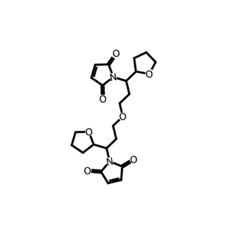 O=C1C=CC(=O)N1C(CCOCCC(C1CCCO1)N1C(=O)C=CC1=O)C1CCCO1